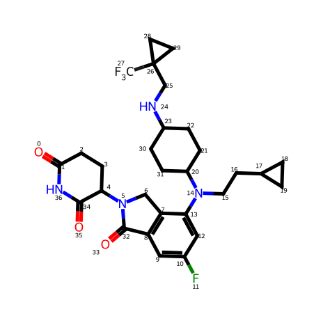 O=C1CCC(N2Cc3c(cc(F)cc3N(CCC3CC3)C3CCC(NCC4(C(F)(F)F)CC4)CC3)C2=O)C(=O)N1